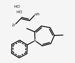 CC1=CC=C(C)N(c2ccccc2)C=C1.CCCC=[CH][Zr].Cl.Cl